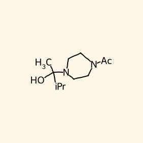 CC(=O)N1CCN(C(C)(O)C(C)C)CC1